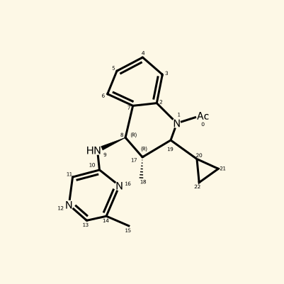 CC(=O)N1c2ccccc2[C@H](Nc2cncc(C)n2)[C@@H](C)C1C1CC1